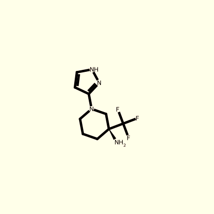 N[C@@]1(C(F)(F)F)CCCN(c2cc[nH]n2)C1